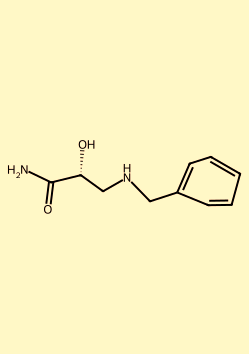 NC(=O)[C@H](O)CNCc1ccccc1